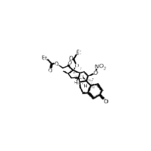 CCC(=O)OCC(=O)[C@@]1(OC(=O)CC)C(C)C[C@H]2[C@@H]3CCC4=CC(=O)C=C[C@]4(C)[C@@]3(Cl)C(O[N+](=O)[O-])C[C@@]21C